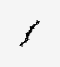 C=CC(=O)OCCCCOc1ccc(N=Nc2ccc(N=Nc3ccc(N=Nc4ccc(OCCCCOC(=O)C=C)cc4OC)cc3)c(C)c2)c(C)c1